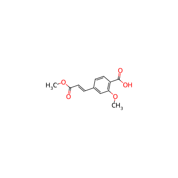 COC(=O)C=Cc1ccc(C(=O)O)c(OC)c1